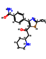 Cc1nc(-c2ccc(C(N)=O)cc2)c(C(=O)[CH]C2CCCCN2)s1